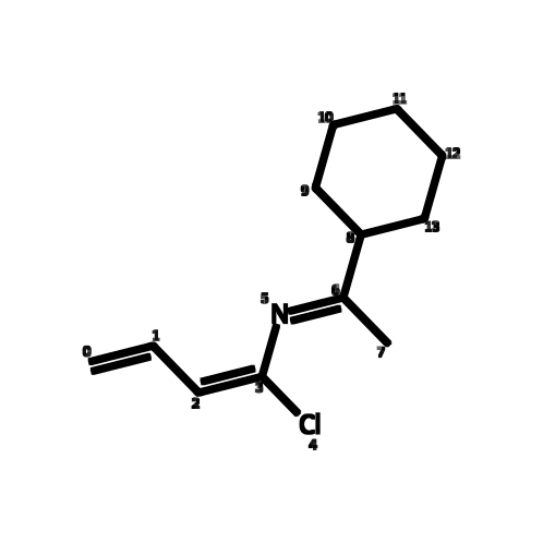 C=C/C=C(Cl)\N=C(/C)C1CCCCC1